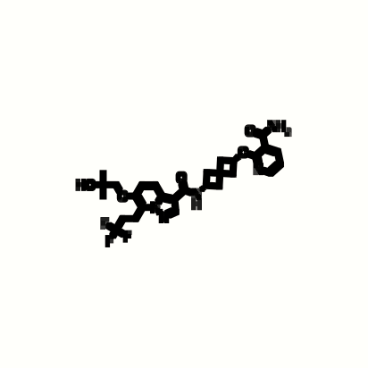 CC(C)(O)COc1ccc2c(C(=O)N[C@H]3CC4(C3)C[C@H](Oc3ncccc3C(N)=O)C4)cnn2c1CCC(F)(F)F